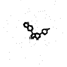 CN1CC=C(c2cnc3[nH]cc(-c4ccc5ncccc5c4)c3c2)CC1